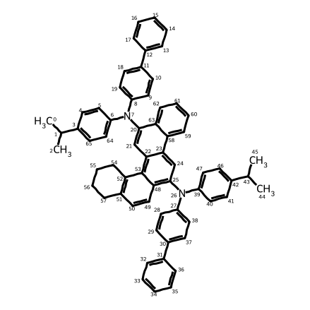 CC(C)c1ccc(N(c2ccc(-c3ccccc3)cc2)c2cc3c(cc(N(c4ccc(-c5ccccc5)cc4)c4ccc(C(C)C)cc4)c4ccc5c(c43)CCCC5)c3ccccc23)cc1